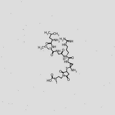 COC[C@H](NC(=O)[C@@H](N)CC(C)C)C(=O)NCC(=O)N[C@@H](CCCNC(=N)N)C(=O)NC1=CC1(N)SC1CC(=O)N(CCN(I)C(=O)O)C1=O